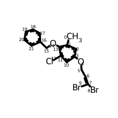 Cc1cc(OCC=C(Br)Br)cc(Cl)c1OCc1ccccc1